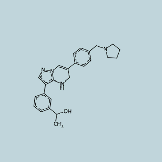 CC(O)c1cccc(-c2cnn3c2NCC(c2ccc(CN4CCCC4)cc2)=C3)c1